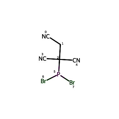 N#CCC(C#N)(C#N)P(Br)Br